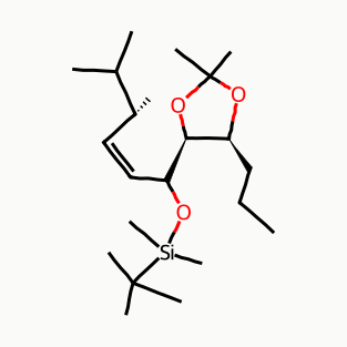 CCC[C@@H]1OC(C)(C)O[C@@H]1C(/C=C\[C@@H](C)C(C)C)O[Si](C)(C)C(C)(C)C